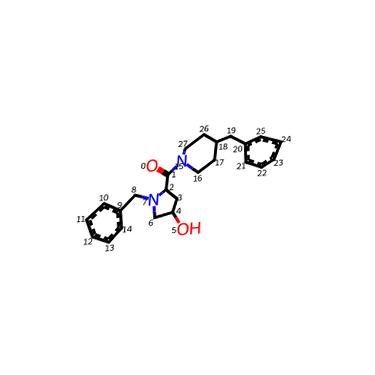 O=C(C1CC(O)CN1Cc1ccccc1)N1CCC(Cc2ccccc2)CC1